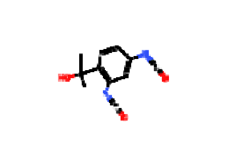 CC(C)(O)c1ccc(N=C=O)cc1N=C=O